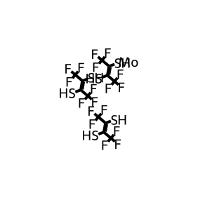 FC(F)(F)C(S)=C(S)C(F)(F)F.FC(F)(F)C(S)=C(S)C(F)(F)F.FC(F)(F)C(S)=C(S)C(F)(F)F.[Mo]